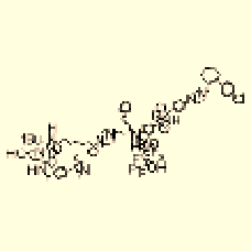 Cc1ncsc1-c1ccc([C@H](C)NC(=O)[C@@H]2C[C@@H](O)CN2C(=O)[C@@H](NC(=O)CCCCCC(=O)N2CCN(CC[C@H](CSc3ccccc3)Nc3ccc(S(=O)(=O)NC(=O)c4ccc(N5CCN(CC6=C(c7ccc(Cl)cc7)CCCCC6)CC5)cc4)cc3S(=O)(=O)C(F)(F)F)CC2)C(C)(C)C)cc1.O=C(O)C(F)(F)F